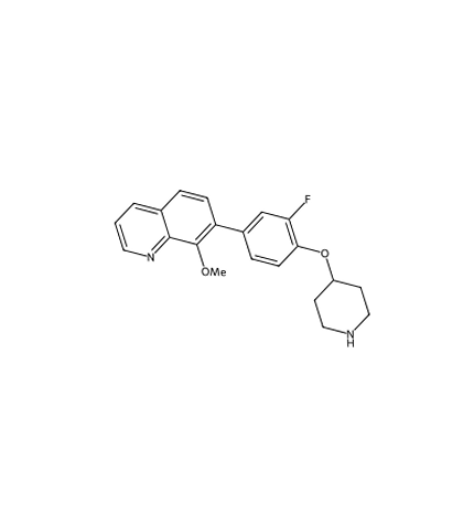 COc1c(-c2ccc(OC3CCNCC3)c(F)c2)ccc2cccnc12